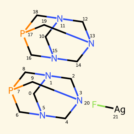 C1N2CN3CN1CP(C2)C3.C1N2CN3CN1CP(C2)C3.[F][Ag]